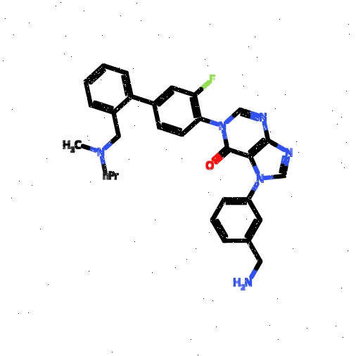 CCCN(C)Cc1ccccc1-c1ccc(-n2cnc3ncn(-c4cccc(CN)c4)c3c2=O)c(F)c1